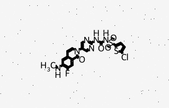 CNc1cc2ccn(-c3cnc(NC(=O)NS(=O)(=O)c4ccc(Cl)s4)nc3)c(=O)c2cc1F